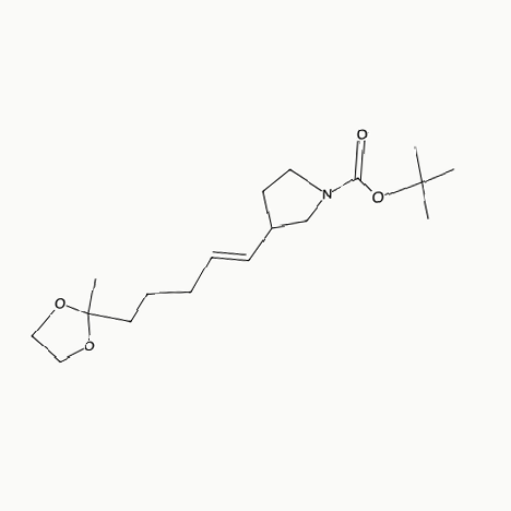 CC(C)(C)OC(=O)N1CCC(/C=C/CCCC2(C)OCCO2)C1